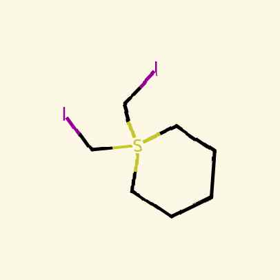 ICS1(CI)CCCCC1